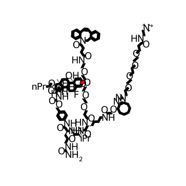 CCCC1O[C@@H]2C[C@H]3[C@@H]4C[C@H](F)C5=CC(=O)C=C[C@]5(C)[C@@]4(F)[C@@H](O)C[C@]3(C)[C@]2(C(=O)CNC(=O)OCc2ccc(NC(=O)[C@H](CCCNC(N)=O)NC(=O)[C@@H](NC(=O)[C@@H](CCCCNC(=O)COC3CCCCCc4c3nnn4CCOCCOCCOCCOCCC(=O)NCC[N+](C)(C)C)NC(=O)CCOCCOCCOCCOCCNC(=O)CCC(=O)N3Cc4ccccc4C#Cc4ccccc43)C(C)C)cc2)O1